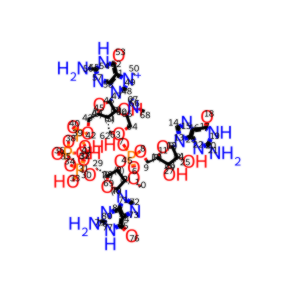 CO[C@@H]1[C@H](OP(=O)(O)OC[C@H]2O[C@@H](n3cnc4c(=O)[nH]c(N)nc43)[C@H](O)[C@@H]2O)[C@@H](COP(=O)(O)OP(=O)(O)OP(=O)(O)OC[C@H]2OC(n3c[n+](C)c4c(=O)[nH]c(N)nc43)[C@H](O)[C@@H]2COCCN(C)C)O[C@H]1n1cnc2c(=O)[nH]c(N)nc21